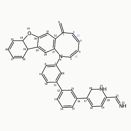 C=C1/C=C\C=C/N(c2cccc(-c3cccc(C4=CC=C(C=N)NC4)c3)c2)c2cc3c(cc21)OC1C=CC=CC31